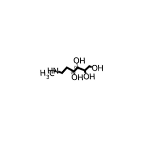 CNCC[C@@H](O)[C@H](O)C(O)CO